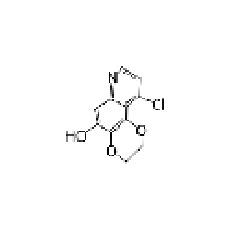 Oc1cc2nccc(Cl)c2c2c1OCCO2